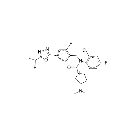 CN(C)C1CCN(C(=O)N(Cc2ccc(-c3nnc(C(F)F)o3)cc2F)c2ccc(F)cc2Cl)C1